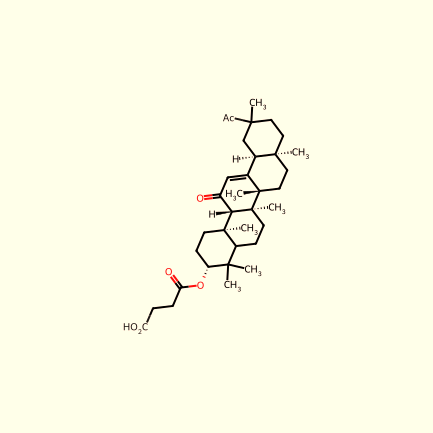 CC(=O)C1(C)CC[C@@]2(C)CC[C@@]3(C)C(=CC(=O)[C@@H]4[C@]3(C)CCC3C(C)(C)[C@H](OC(=O)CCC(=O)O)CC[C@]34C)[C@H]2C1